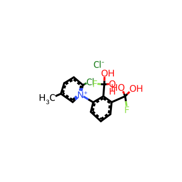 Cc1ccc(Cl)[n+](-c2cccc(C(O)(O)F)c2C(O)(O)F)c1.[Cl-]